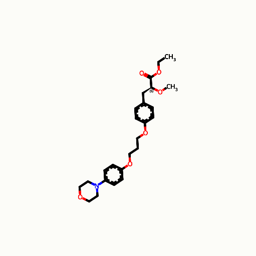 CCOC(=O)[C@H](Cc1ccc(OCCCOc2ccc(N3CCOCC3)cc2)cc1)OC